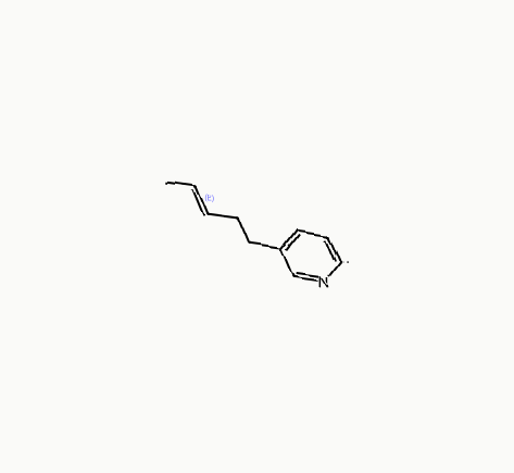 C/C=C/CCc1cc[c]nc1